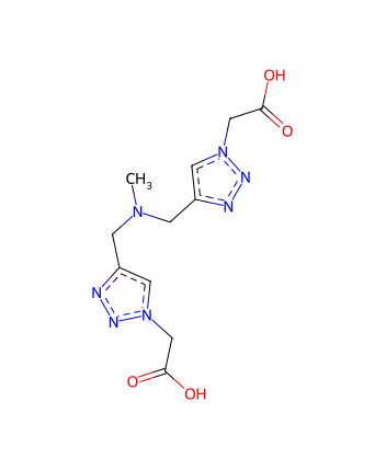 CN(Cc1cn(CC(=O)O)nn1)Cc1cn(CC(=O)O)nn1